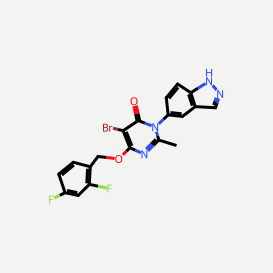 Cc1nc(OCc2ccc(F)cc2F)c(Br)c(=O)n1-c1ccc2[nH]ncc2c1